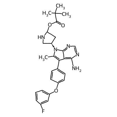 Cc1c(-c2ccc(Oc3cccc(F)c3)cc2)c2c(N)ncnc2n1[C@H]1CNC(OC(=O)C(C)(C)C)C1